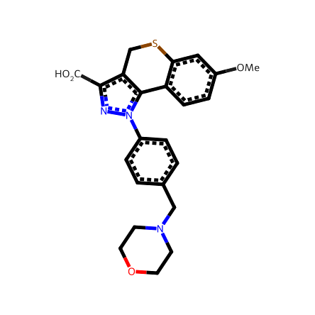 COc1ccc2c(c1)SCc1c(C(=O)O)nn(-c3ccc(CN4CCOCC4)cc3)c1-2